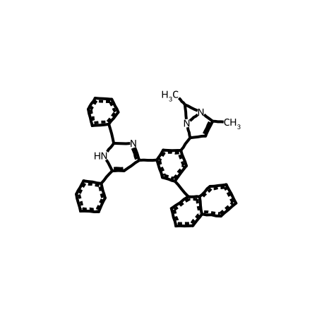 CC1=CC(c2cc(C3=NC(c4ccccc4)NC(c4ccccc4)=C3)cc(-c3cccc4ccccc34)c2)N2C(C)N12